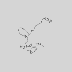 Cc1cccc(CC(O)(Cl)CCN2CCCC2CC=CCCCC(=O)O)c1